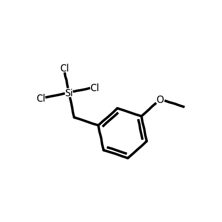 COc1cccc(C[Si](Cl)(Cl)Cl)c1